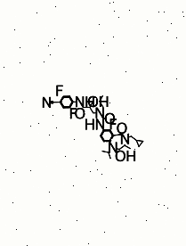 CCCN(CC(O)C(=O)Nc1cc(F)c(C#N)cc1F)C(=O)Nc1ccc2c(c1F)C(=O)N(CC1CC1)C(C)C(O)N2C(C)C